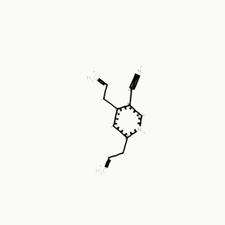 C=CCc1cc(CC=C)c(C#N)cn1